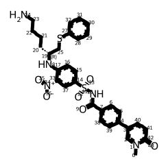 Cn1cc(-c2ccc(C(=O)NS(=O)(=O)c3ccc(N[C@H](CCCCN)CSc4ccccc4)c([N+](=O)[O-])c3)cc2)ccc1=O